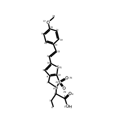 CCC(C(=O)O)N1Cc2cc(C=Cc3ccc(OC)cc3)sc2S1(=O)=O